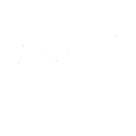 CCCC(NC1CCc2cc(F)cc(F)c2C1)C(=O)Nc1cn(-c2ccc(C(=O)OC)cc2)cn1